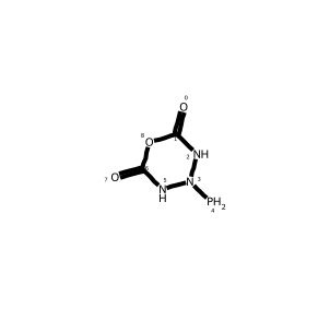 O=C1NN(P)NC(=O)O1